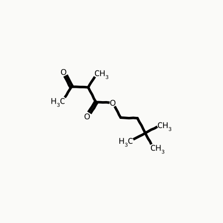 CC(=O)C(C)C(=O)OCCC(C)(C)C